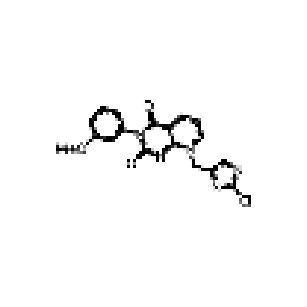 COc1cccc(-n2c(=O)nc3n(Cc4cnc(Cl)s4)cccc-3c2=O)c1